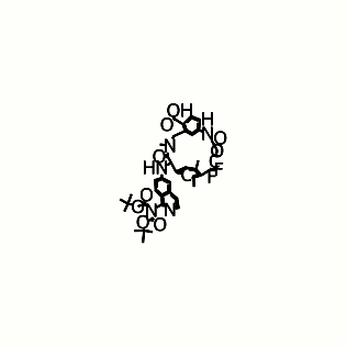 Cc1cc2cc(C)c1C(F)(F)COC(=O)Nc1ccc(C(=O)O)c(c1)CN(C)C(=O)C2Nc1ccc2c(N(C(=O)OC(C)(C)C)C(=O)OC(C)(C)C)nccc2c1